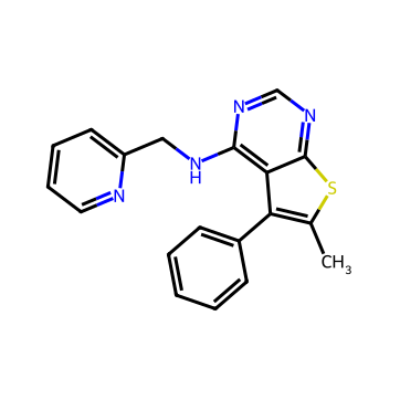 Cc1sc2ncnc(NCc3ccccn3)c2c1-c1ccccc1